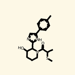 CSC(C)C(=O)N1CCCC(O)C1c1ncc(-c2ccc(C)cc2)[nH]1